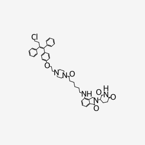 O=C1CCC(N2Cc3c(NCCCCCC(=O)N4CCN(CCOc5ccc(C(=C(CCCl)c6ccccc6)c6ccccc6)cc5)CC4)cccc3C2=O)C(=O)N1